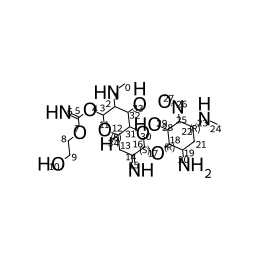 CNC1C(OC(=N)OCCO)O[C@H]2CC(=N)[C@@H](O[C@@H]3C(N)C[C@@H](NC)C(N=O)C3O)OC2C1O